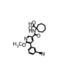 COc1ncc(C(=O)NC2(C(=O)O)CCCCCC2)cc1-c1cccc(C#N)c1